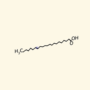 CCCCCC/C=C/CCCCCCCCCCCCCC(=O)O